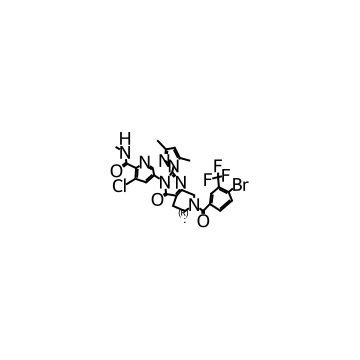 CNC(=O)c1ncc(-n2c(-n3nc(C)cc3C)nc3c(c2=O)C[C@@H](C)N(C(=O)c2ccc(Br)c(C(F)(F)F)c2)C3)cc1Cl